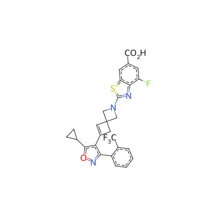 O=C(O)c1cc(F)c2nc(N3CC4(C=C(c5c(-c6ccccc6C(F)(F)F)noc5C5CC5)C4)C3)sc2c1